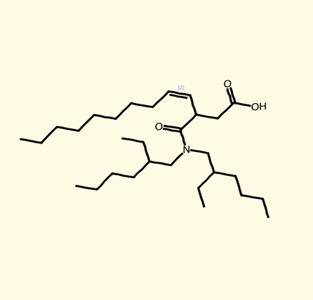 CCCCCCCC/C=C\C(CC(=O)O)C(=O)N(CC(CC)CCCC)CC(CC)CCCC